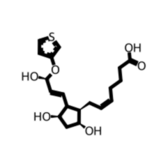 O=C(O)CCC/C=C\C[C@@H]1C(/C=C/[C@@H](O)Oc2ccsc2)[C@H](O)C[C@@H]1O